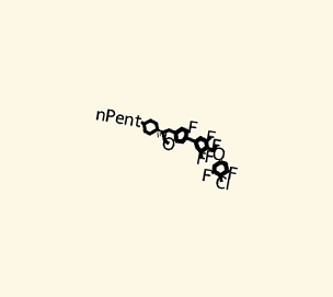 CCCCCC1CCC([C@@H]2COc3cc(-c4cc(F)c(C(F)(F)Oc5cc(F)c(Cl)c(F)c5)c(F)c4)c(F)cc3C2)CC1